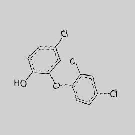 Oc1ccc(Cl)cc1Oc1ccc(Cl)cc1Cl